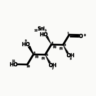 O=C[C@H](O)[C@@H](O)[C@H](O)[C@H](O)CO.[Sn]